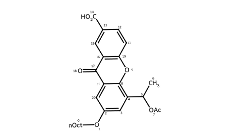 CCCCCCCCOc1cc(C(C)OC(C)=O)c2oc3ccc(C(=O)O)cc3c(=O)c2c1